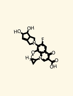 COc1c(N2CC3=CC(O)C(O)C3C2)c(F)cc2c(=O)c(C(=O)O)cn(C3CC3)c12